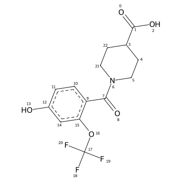 O=C(O)C1CCN(C(=O)c2ccc(O)cc2OC(F)(F)F)CC1